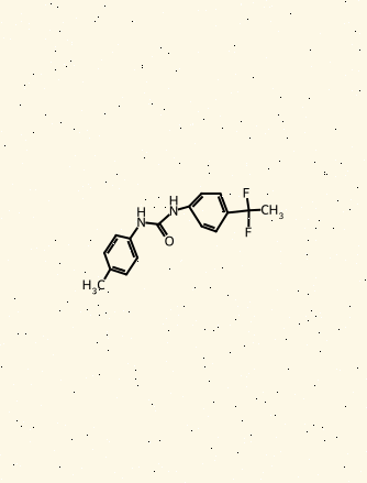 Cc1ccc(NC(=O)Nc2ccc(C(C)(F)F)cc2)cc1